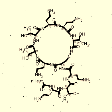 CCCCCCCC(=O)N[C@@H](CCN)C(=O)N[C@H](C(=O)N[C@H](CCN)C(=O)N[C@H]1CCNC(=O)[C@H]([C@@H](C)O)NC(=O)[C@H](CCN)NC(=O)[C@H](CCN)NC(=O)[C@H]([C@@H](C)O)NC(=O)[C@H]([C@@H](C)O)NC(=O)[C@H](CCN)NC1=O)[C@@H](C)O